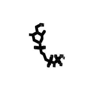 CC1CN(S(=O)(=O)CCCS(=O)(=O)NS(=O)(=O)C(F)(F)F)CC(C)N1CC#N